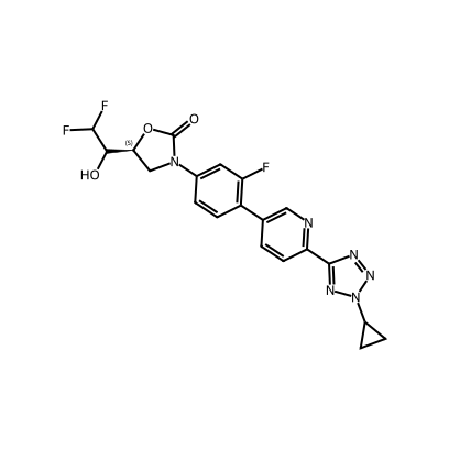 O=C1O[C@H](C(O)C(F)F)CN1c1ccc(-c2ccc(-c3nnn(C4CC4)n3)nc2)c(F)c1